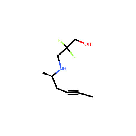 CC#CC[C@@H](C)NCC(F)(F)CO